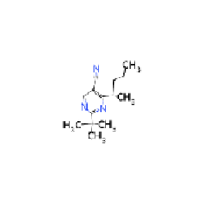 CCCC(C)c1nc(C(C)(C)C)ncc1C#N